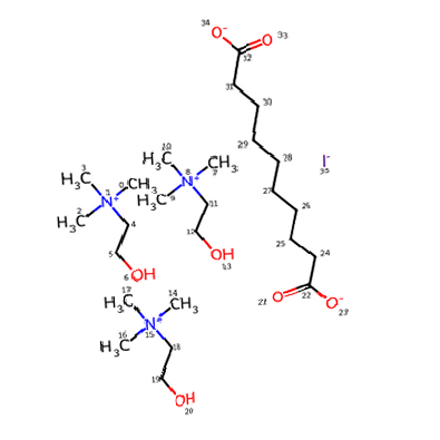 C[N+](C)(C)CCO.C[N+](C)(C)CCO.C[N+](C)(C)CCO.O=C([O-])CCCCCCCCC(=O)[O-].[I-]